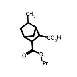 CC(C)OC(=O)C1C2CC(C)C(C2)C1C(=O)O